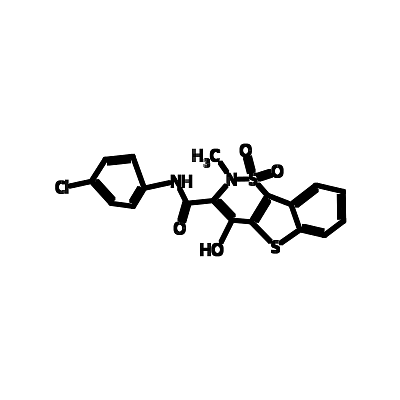 CN1C(C(=O)Nc2ccc(Cl)cc2)=C(O)c2sc3ccccc3c2S1(=O)=O